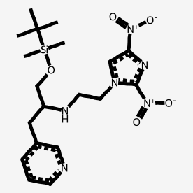 CC(C)(C)[Si](C)(C)OCC(Cc1cccnc1)NCCn1cc([N+](=O)[O-])nc1[N+](=O)[O-]